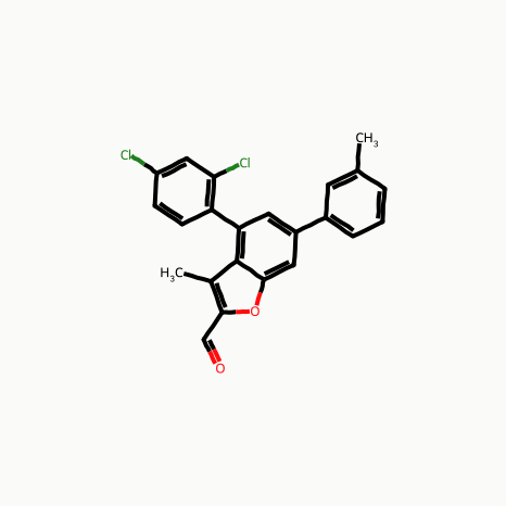 Cc1cccc(-c2cc(-c3ccc(Cl)cc3Cl)c3c(C)c(C=O)oc3c2)c1